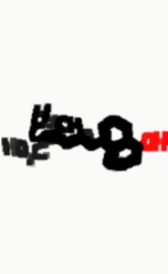 CC(C)(CCCC1=CCCc2c(O)cccc21)C(=O)O